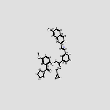 COc1ccc(OCC(OCC2CC2)c2cccc(/C=C/c3ccc4ccc(Cl)cc4n3)c2)c(C(=O)N2CCCC2)c1